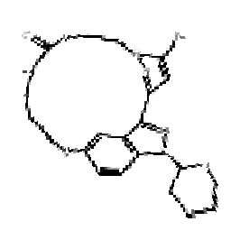 CCc1cc2nn1CCOC(=O)NCCCOc1ccc3c(c1)c-2nn3C1CCCCO1